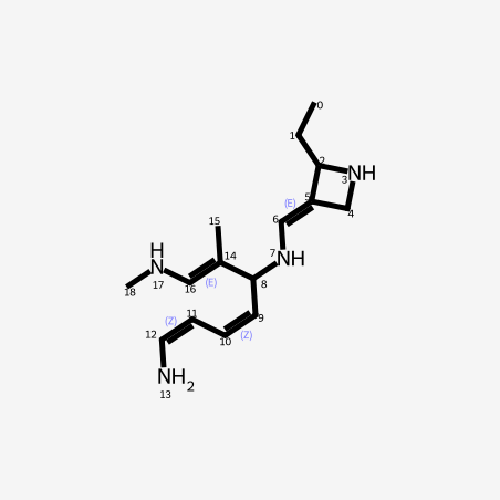 CCC1NC/C1=C\NC(/C=C\C=C/N)/C(C)=C/NC